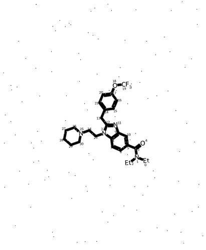 CCN(CC)C(=O)c1ccc2c(c1)nc(Cc1ccc(OC(F)(F)F)cc1)n2CCN1CCCCC1